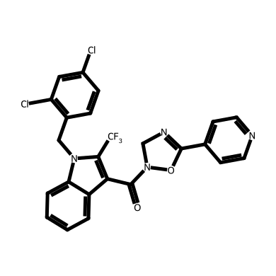 O=C(c1c(C(F)(F)F)n(Cc2ccc(Cl)cc2Cl)c2ccccc12)N1CN=C(c2ccncc2)O1